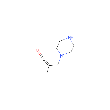 CC(=C=O)CN1CCNCC1